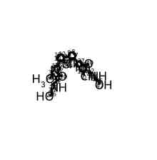 Cc1cn2cc(-c3cccc(-c4cccc(-c5cc6c(=O)n(CCNCCO)c(C)cn6c5)c4Cl)c3Cl)cc2c(=O)n1CCNCCO